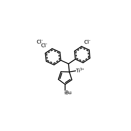 CCC(C)C1=C[C]([Ti+3])(C(c2ccccc2)c2ccccc2)C=C1.[Cl-].[Cl-].[Cl-]